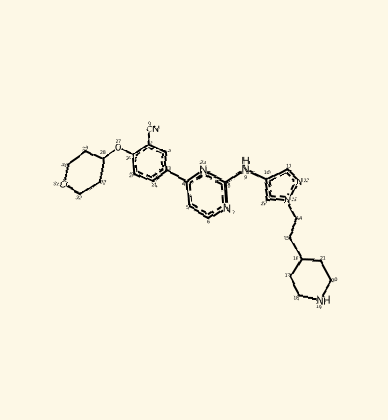 N#Cc1cc(-c2ccnc(Nc3cnn(CCC4CCNCC4)c3)n2)ccc1OC1CCOCC1